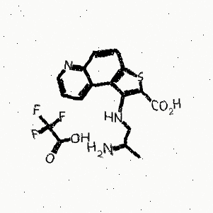 CC(N)CNc1c(C(=O)O)sc2ccc3ncccc3c12.O=C(O)C(F)(F)F